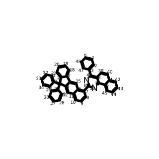 c1ccc(-c2nc(-c3cccc4cc5c(cc34)-c3ccccc3C5(c3ccccc3)c3ccccc3)nc3c2ccc2ccccc23)cc1